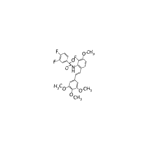 COc1ccc(C=Cc2cc(OC)c(OC)c(OC)c2)c(NS(=O)(=O)c2ccc(F)c(F)c2)c1F